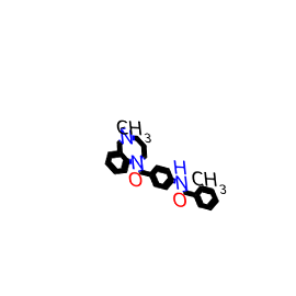 Cc1ccccc1C(=O)Nc1ccc(C(=O)N2CCCN(C)Cc3ccccc32)cc1